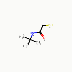 CC(C)(C)NC(=O)CS